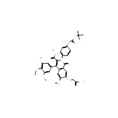 COC(=O)c1c(-c2cc(OC)c(OC)c(OC)c2)c2cc(OC)c(OCC(=O)O)cc2c(=O)n1-c1ccc(NC(=O)OC(C)(C)C)cc1